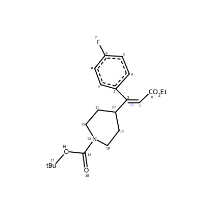 CCOC(=O)/C=C(\c1ccc(F)cc1)C1CCN(C(=O)OC(C)(C)C)CC1